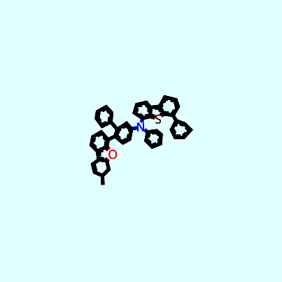 CC1C=Cc2c(oc3c(-c4ccc(N(c5ccccc5)c5cccc6c5sc5c(-c7ccccc7)cccc56)cc4-c4ccccc4)cccc23)C1